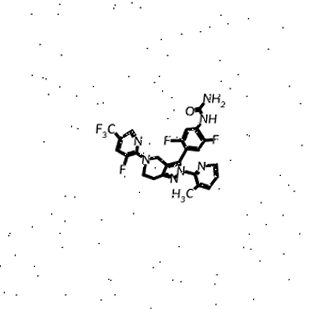 Cc1cccnc1-n1nc2c(c1-c1cc(F)c(NC(N)=O)cc1F)CN(c1ncc(C(F)(F)F)cc1F)CC2